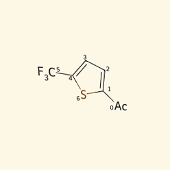 CC(=O)c1ccc(C(F)(F)F)s1